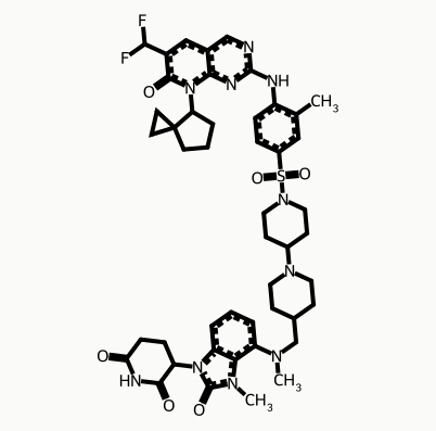 Cc1cc(S(=O)(=O)N2CCC(N3CCC(CN(C)c4cccc5c4n(C)c(=O)n5C4CCC(=O)NC4=O)CC3)CC2)ccc1Nc1ncc2cc(C(F)F)c(=O)n(C3CCCC34CC4)c2n1